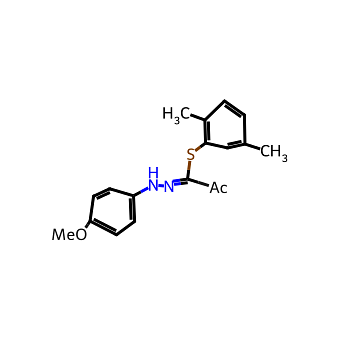 COc1ccc(NN=C(Sc2cc(C)ccc2C)C(C)=O)cc1